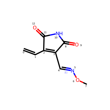 C=CC1=C(/C=N/OC)C(=O)NC1=O